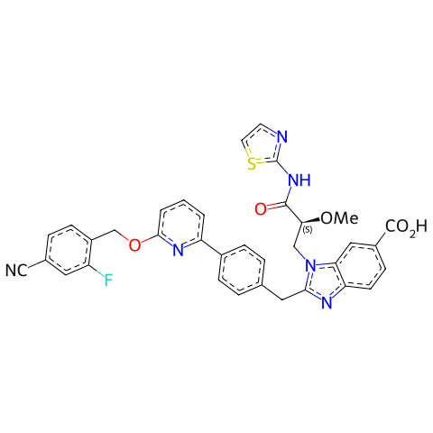 CO[C@@H](Cn1c(Cc2ccc(-c3cccc(OCc4ccc(C#N)cc4F)n3)cc2)nc2ccc(C(=O)O)cc21)C(=O)Nc1nccs1